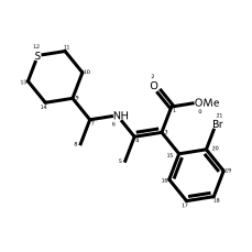 COC(=O)/C(=C(/C)NC(C)C1CCSCC1)c1ccccc1Br